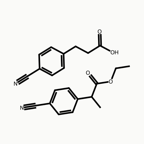 CCOC(=O)C(C)c1ccc(C#N)cc1.N#Cc1ccc(CCC(=O)O)cc1